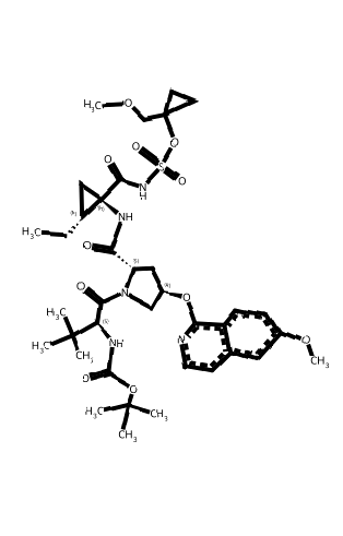 CC[C@@H]1C[C@]1(NC(=O)[C@@H]1C[C@@H](Oc2nccc3cc(OC)ccc23)CN1C(=O)[C@@H](NC(=O)OC(C)(C)C)C(C)(C)C)C(=O)NS(=O)(=O)OC1(COC)CC1